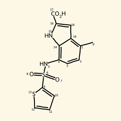 Cc1ccc(NS(=O)(=O)c2cccs2)c2[nH]c(C(=O)O)cc12